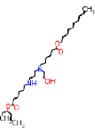 CCCCCCCCCCOC(=O)CCCCCN(CCO)CCCNCCCCCC(=O)OC(CC)CCC